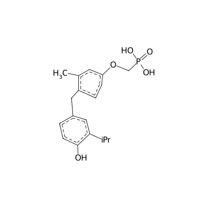 Cc1cc(OCP(=O)(O)O)ccc1Cc1ccc(O)c(C(C)C)c1